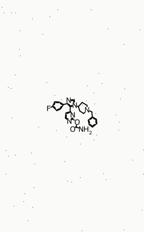 NC(=O)Oc1nccc(-c2c(-c3ccc(F)cc3)ncn2C2CCN(Cc3ccccc3)CC2)n1